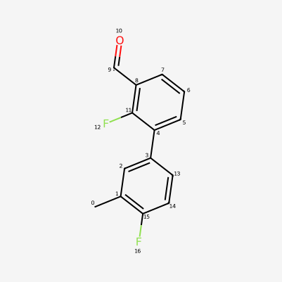 Cc1cc(-c2cccc([C]=O)c2F)ccc1F